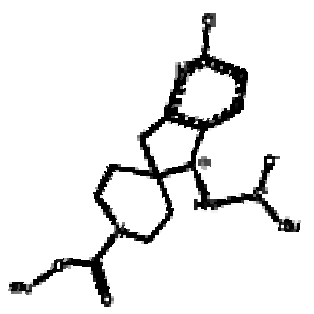 CC(C)(C)OC(=O)N1CCC2(CC1)Cc1nc(Cl)ccc1[C@H]2N[S+]([O-])C(C)(C)C